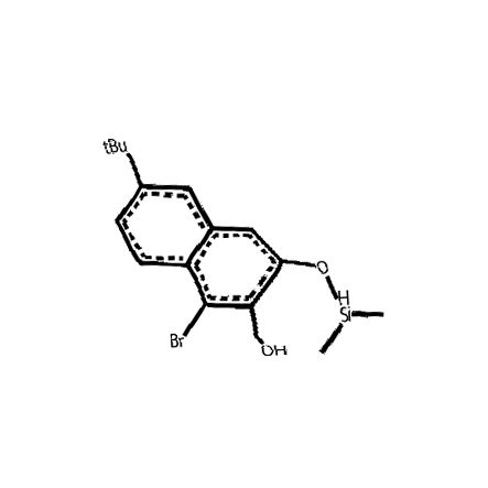 C[SiH](C)Oc1cc2cc(C(C)(C)C)ccc2c(Br)c1O